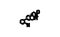 CN1C(=O)CC[C@]2(C)c3ccc(-c4ccccc4C#N)cc3CC[C@@H]12